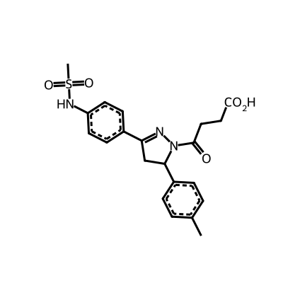 Cc1ccc(C2CC(c3ccc(NS(C)(=O)=O)cc3)=NN2C(=O)CCC(=O)O)cc1